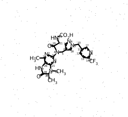 Cc1nc(N(Cc2cnn(Cc3ccc(C(F)(F)F)nc3)c2)C(=O)CNC(=O)O)nc2c1NC(=O)[C@H](C)N2C